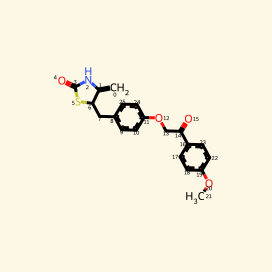 C=C1NC(=O)SC1Cc1ccc(OCC(=O)c2ccc(OC)cc2)cc1